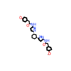 COc1ccc(CC(=O)Nc2ccc([C@H]3CCC[C@H](c4ccc(NC(=O)Cc5ccc(OC)cc5)nn4)C3)nn2)cc1